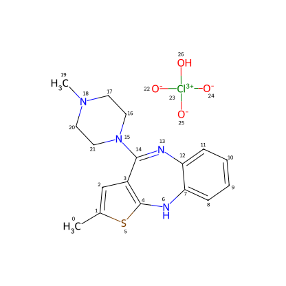 Cc1cc2c(s1)Nc1ccccc1N=C2N1CCN(C)CC1.[O-][Cl+3]([O-])([O-])O